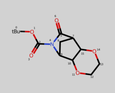 CC(C)(C)OC(=O)N1C(=O)C2CC1C1OCCOC21